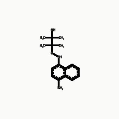 CC(C)(O)C(C)(C)OBc1ccc(N)c2ccccc12